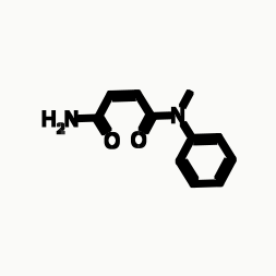 CN(C(=O)/C=C\C(N)=O)c1ccccc1